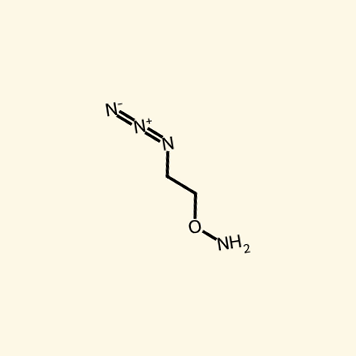 [N-]=[N+]=NCCON